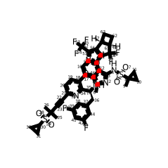 Cn1nc(NS(=O)(=O)C2(C)CC2)c2c(Cl)ccc(-c3ccc(C#CC(C)(C)S(=O)(=O)C4CC4)nc3[C@H](Cc3cc(F)cc(F)c3)NC(=O)Cn3nc(C(F)(F)F)c4c3C(F)(F)[C@@H]3CC[C@H]43)c21